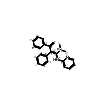 C=C(/C(=C(/Nc1ccccn1)N(C)C)c1ccccc1)c1ccccc1